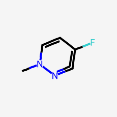 CN1C=CC(F)=C=N1